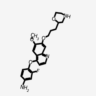 COc1cc2c(Oc3ccc(N)cc3F)ccnc2cc1OCCCC1CNCCO1